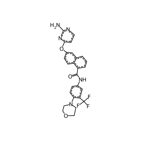 Nc1nccc(Oc2ccc3c(C(=O)Nc4ccc(N5CCOCC5)c(C(F)(F)F)c4)cccc3c2)n1